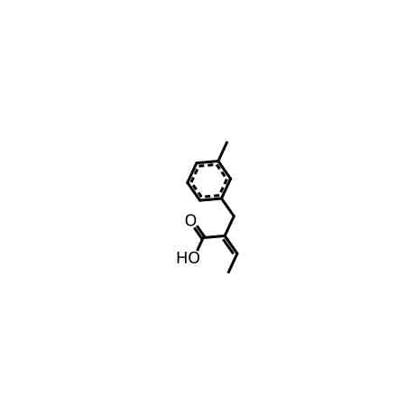 CC=C(Cc1cccc(C)c1)C(=O)O